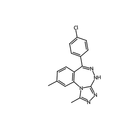 Cc1ccc2c(c1)-n1c(C)nnc1NN=C2c1ccc(Cl)cc1